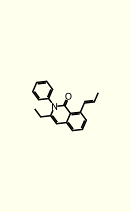 C/C=C/c1cccc2cc(CC)n(-c3ccccc3)c(=O)c12